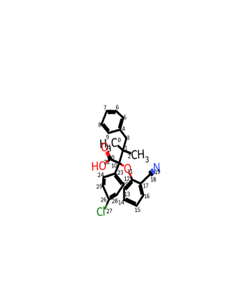 CC(C)(Cc1ccccc1)C(Oc1ccccc1C#N)(C(=O)O)c1ccc(Cl)cc1